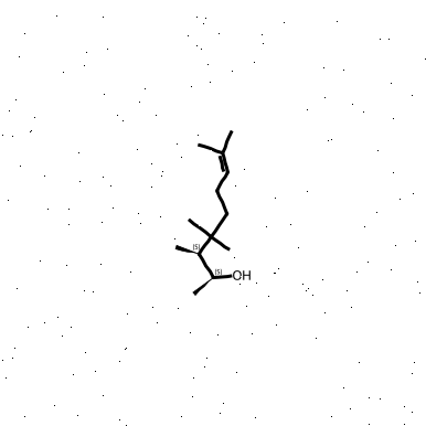 CC(C)=CCCC(C)(C)[C@H](C)[C@H](C)O